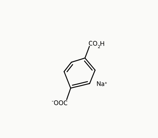 O=C([O-])c1ccc(C(=O)O)cc1.[Na+]